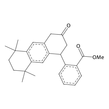 COC(=O)c1ccccc1C1CC(=O)Cc2cc3c(cc21)C(C)(C)CCC3(C)C